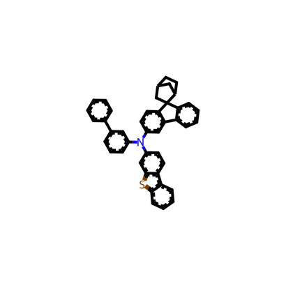 c1ccc(-c2cccc(N(c3ccc4c(c3)-c3ccccc3C43CC4CCC3C4)c3ccc4c(c3)sc3ccccc34)c2)cc1